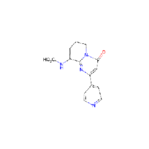 O=C(O)NC1CCCn2c1nc(-c1ccncc1)cc2=O